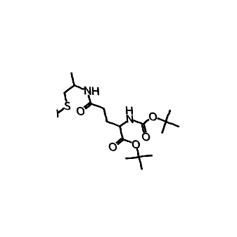 CC(CSI)NC(=O)CCC(NC(=O)OC(C)(C)C)C(=O)OC(C)(C)C